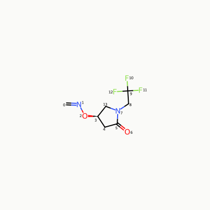 C=NO[C@@H]1CC(=O)N(CC(F)(F)F)C1